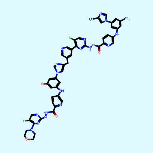 Cc1cn(-c2cc(Nc3ccc(C(=O)NNc4ncc(F)c(-c5cncc(Cc6cn(-c7cc(O)cc(Nc8ccc(C(=O)NNc9ncc(F)c(N%10CCOCC%10)n9)nc8)c7)cn6)c5)n4)nc3)cc(C(F)(F)F)c2)cn1